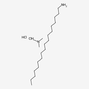 CCCCCCCCCCCCCCCCCCN.CN(C)C.Cl.Cl